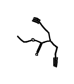 C#CCC(CC#C)C(=O)OCC